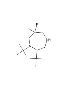 CC(C)(C)C1CNCC(F)(F)CN1C(C)(C)C